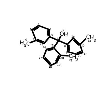 Cc1cccc(C(O)(c2cccc(C)c2)c2ccccc2C)c1